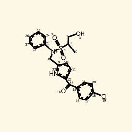 CC(CO)S(=O)(=O)N(Cc1ccc(C(=O)c2ccc(Cl)cc2)[nH]1)c1ccccc1